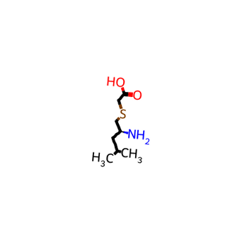 CC(C)C[C@H](N)CSCC(=O)O